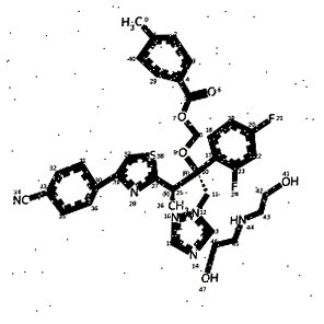 Cc1ccc(C(=O)OCO[C@@](Cn2cncn2)(c2ccc(F)cc2F)[C@@H](C)c2nc(-c3ccc(C#N)cc3)cs2)cc1.OCCNCCO